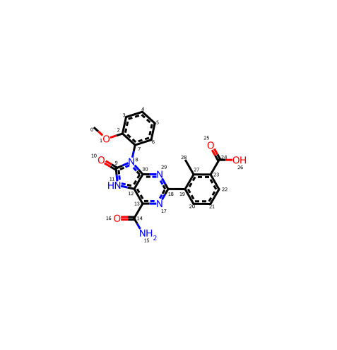 COc1ccccc1-n1c(=O)[nH]c2c(C(N)=O)nc(-c3cccc(C(=O)O)c3C)nc21